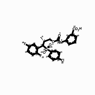 C[C@H](COC(=O)Nc1cccc(C(=O)O)c1)C(c1cc(F)ccc1F)S(=O)(=O)c1ccc(Cl)cc1